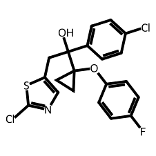 OC(Cc1cnc(Cl)s1)(c1ccc(Cl)cc1)C1(Oc2ccc(F)cc2)CC1